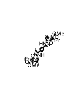 COC(=O)N[C@H](C(=O)N1C[C@@H](C)C[C@H]1c1ncc(-c2ccc(-c3[nH]c([C@@H]4C[C@H](C)CN4C(=O)[C@@H](NC(=O)OC)C(C)C)nc3I)cc2)[nH]1)C(C)C